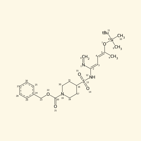 C=N/C(=C\C=C(/C)O[Si](C)(C)C(C)(C)C)NS(=O)(=O)C1CCN(C(=O)OCc2ccccc2)CC1